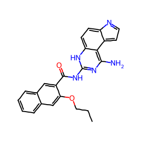 CCCOc1cc2ccccc2cc1C(=O)Nc1nc(N)c2c(ccc3nccc32)[nH]1